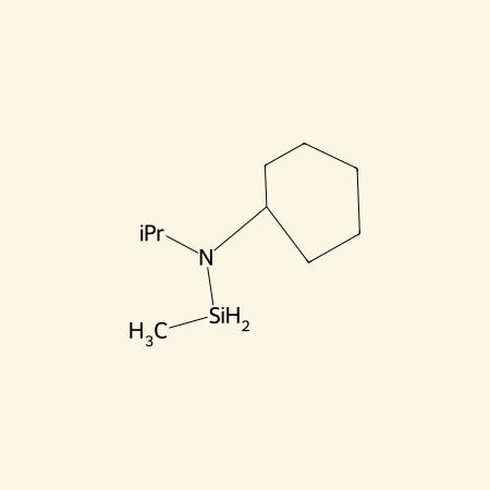 C[SiH2]N(C(C)C)C1CCCCC1